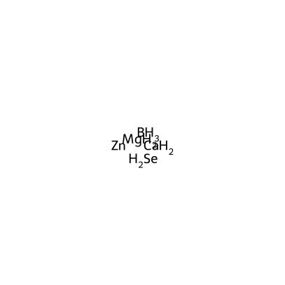 B.[CaH2].[MgH2].[SeH2].[Zn]